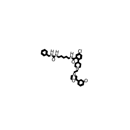 O=C1C=CC=C(C2=CN(CCN3CCC(c4ccc(Cl)cc4C(=O)NCCCCCNC(=O)NCc4ccccc4)CC3)C=CO2)C1